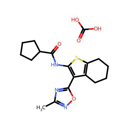 Cc1noc(-c2c(NC(=O)C3CCCC3)sc3c2CCCC3)n1.O=C(O)O